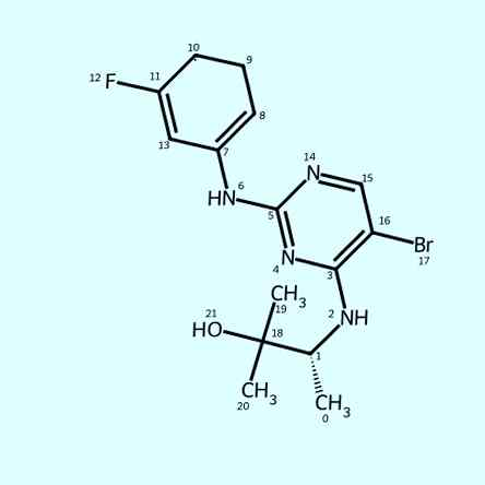 C[C@@H](Nc1nc(NC2=CC[CH]C(F)=C2)ncc1Br)C(C)(C)O